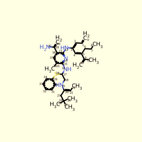 C=C/C=C(\C=C(/CCC)C(=C)C)Nc1nc(NC(CN/C(=C\C)CC(C)(C)C)Sc2ccccc2)c(C)cc1C(=C)N